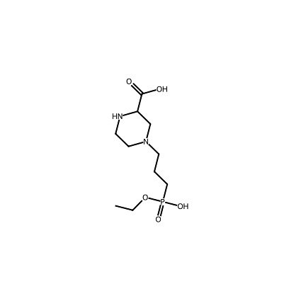 CCOP(=O)(O)CCCN1CCNC(C(=O)O)C1